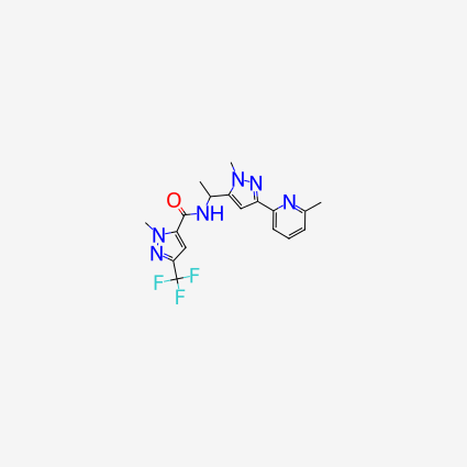 Cc1cccc(-c2cc(C(C)NC(=O)c3cc(C(F)(F)F)nn3C)n(C)n2)n1